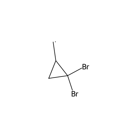 [CH2]C1CC1(Br)Br